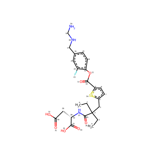 CCC(CC)(Cc1ccc(C(=O)Oc2ccc(CNCN)cc2F)s1)C(=O)N[C@@H](CC(=O)O)C(=O)O